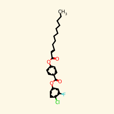 CCCCCCCCCC=CC(=O)Oc1ccc(C(=O)Oc2ccc(Cl)c(F)c2)cc1